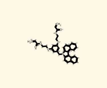 C=CC(=O)OCCOc1cc(Cn2c3ccc4ccccc4c3c3c4ccccc4ccc32)cc(OCCOC(=O)C=C)c1